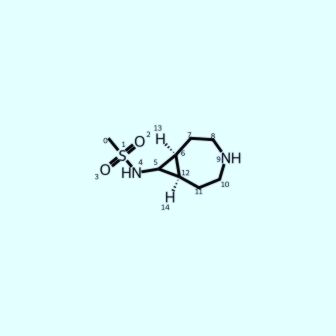 CS(=O)(=O)NC1[C@H]2CCNCC[C@@H]12